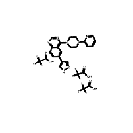 O=C(O)C(F)(F)F.O=C(O)C(F)(F)F.O=C(O)C(F)(F)F.c1ccc(N2CCN(c3ncnc4ccc(-c5cn[nH]c5)cc34)CC2)nc1